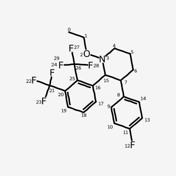 CCON1CCCC(c2ccc(F)cc2)C1c1cccc(C(F)(F)F)c1C(F)(F)F